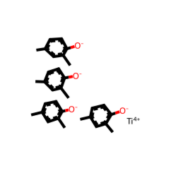 Cc1ccc([O-])c(C)c1.Cc1ccc([O-])c(C)c1.Cc1ccc([O-])c(C)c1.Cc1ccc([O-])c(C)c1.[Ti+4]